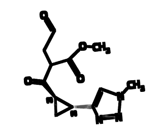 COC(=O)C(CC=O)C(=O)[C@@H]1C[C@H]1c1cn(C)nn1